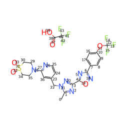 Cc1nc(-c2nc(-c3ccc(OC(F)(F)F)cc3)no2)nn1Cc1ccnc(N2CCS(=O)(=O)CC2)c1.O=C(O)C(F)(F)F